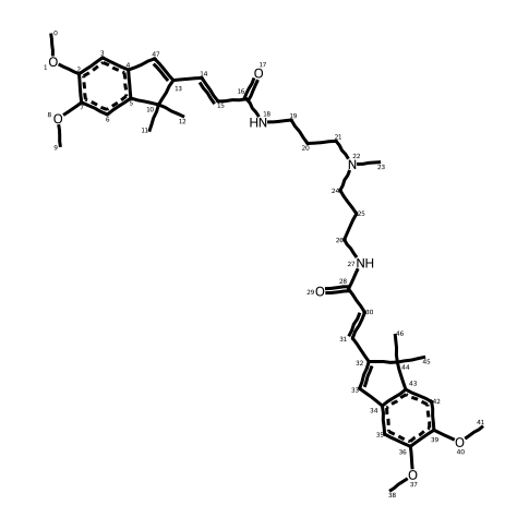 COc1cc2c(cc1OC)C(C)(C)C(/C=C/C(=O)NCCCN(C)CCCNC(=O)/C=C/C1=Cc3cc(OC)c(OC)cc3C1(C)C)=C2